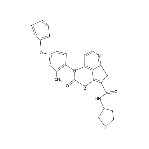 Cc1cc(Oc2ccccc2)ccc1N1C(=O)Nc2c(C(=O)NC3CCOC3)sc3nccc1c23